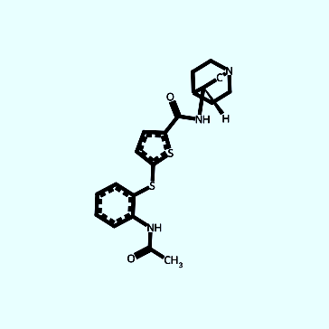 CC(=O)Nc1ccccc1Sc1ccc(C(=O)N[C@H]2CN3CCC2CC3)s1